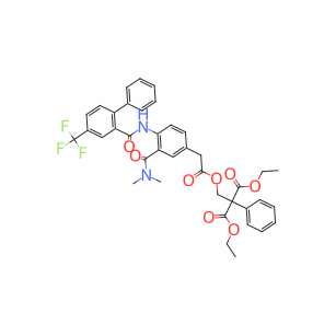 CCOC(=O)C(COC(=O)Cc1ccc(NC(=O)c2cc(C(F)(F)F)ccc2-c2ccccc2)c(C(=O)N(C)C)c1)(C(=O)OCC)c1ccccc1